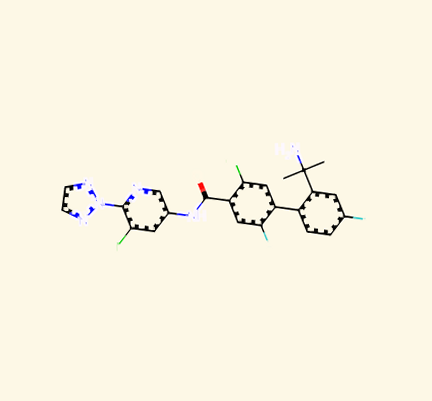 CC(C)(N)c1cc(F)ccc1-c1cc(Cl)c(C(=O)Nc2cnc(-n3nccn3)c(Cl)c2)cc1F